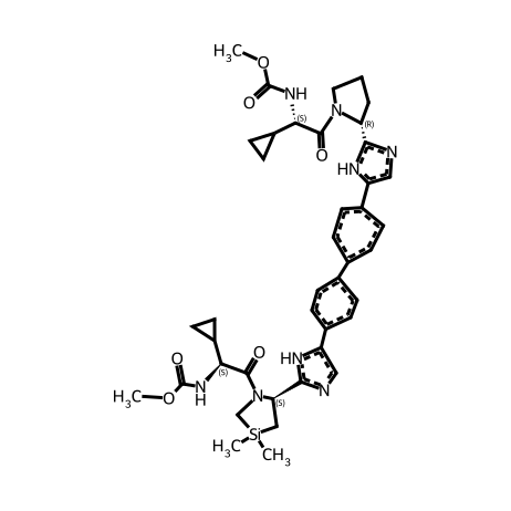 COC(=O)N[C@H](C(=O)N1CCC[C@@H]1c1ncc(-c2ccc(-c3ccc(-c4cnc([C@H]5C[Si](C)(C)CN5C(=O)[C@@H](NC(=O)OC)C5CC5)[nH]4)cc3)cc2)[nH]1)C1CC1